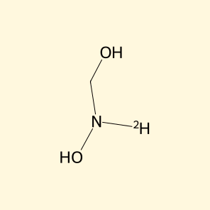 [2H]N(O)CO